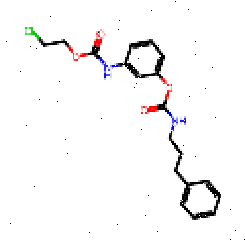 O=C(Nc1cccc(OC(=O)NCCCc2ccccc2)c1)OCCCl